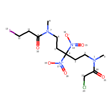 CN(CCC(CCN(C)C(=O)CCI)([N+](=O)[O-])[N+](=O)[O-])C(=O)CCl